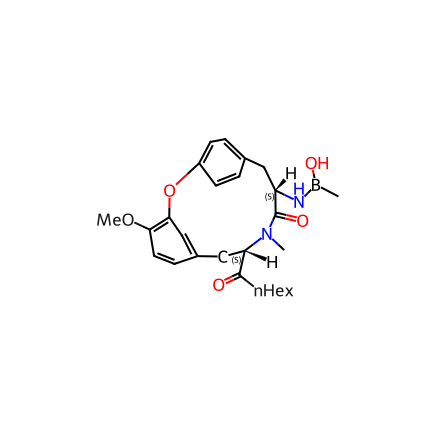 CCCCCCC(=O)[C@@H]1Cc2ccc(OC)c(c2)Oc2ccc(cc2)C[C@H](NB(C)O)C(=O)N1C